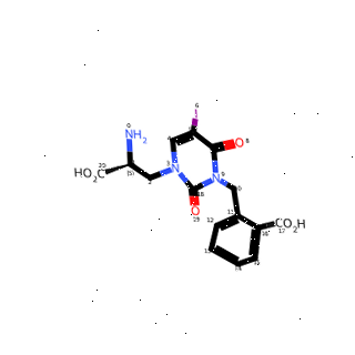 N[C@@H](Cn1cc(I)c(=O)n(Cc2ccccc2C(=O)O)c1=O)C(=O)O